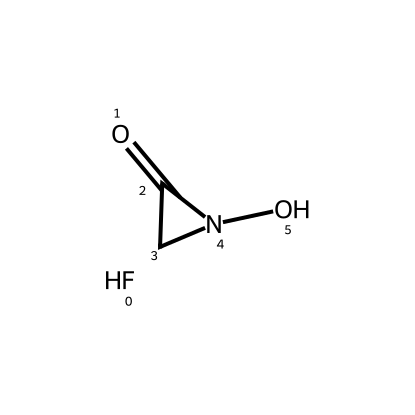 F.O=C1CN1O